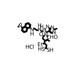 CC=C(CC(OC(=O)NCCNc1cccc2c(N(C)C)cccc12)N(C=O)Cc1cnc(C)nc1N)C(CC)CC(S)S.Cl